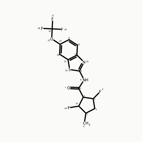 CC1CC(F)C(C(=O)Nc2nc3ccc(OC(F)(F)F)cc3s2)C1F